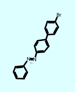 Brc1ccc(-c2ccc(/N=N/c3ccccc3)cc2)cc1